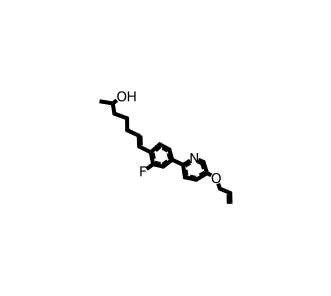 C=CCOc1ccc(-c2ccc(C=CCCCC(C)O)c(F)c2)nc1